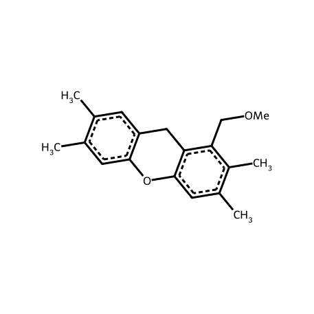 COCc1c(C)c(C)cc2c1Cc1cc(C)c(C)cc1O2